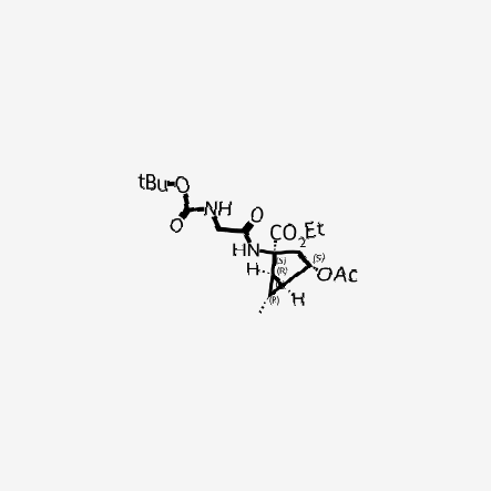 CCOC(=O)[C@]1(NC(=O)CNC(=O)OC(C)(C)C)C[C@H](OC(C)=O)[C@H]2[C@H](C)[C@H]21